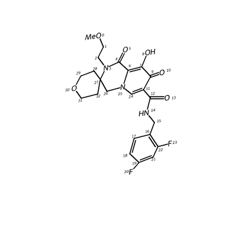 COCCN1C(=O)c2c(O)c(=O)c(C(=O)NCc3ccc(F)cc3F)cn2CC12CCOCC2